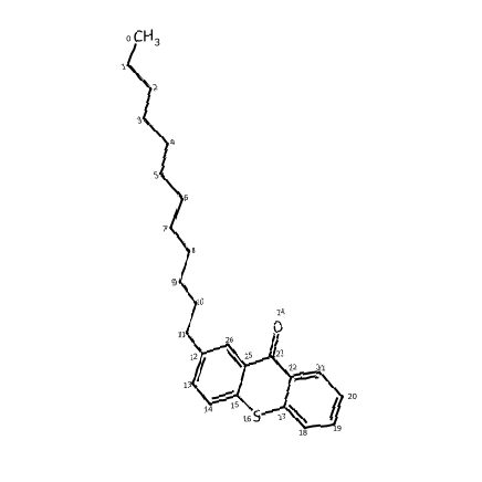 CCCCCCCCCCCCc1ccc2sc3ccccc3c(=O)c2c1